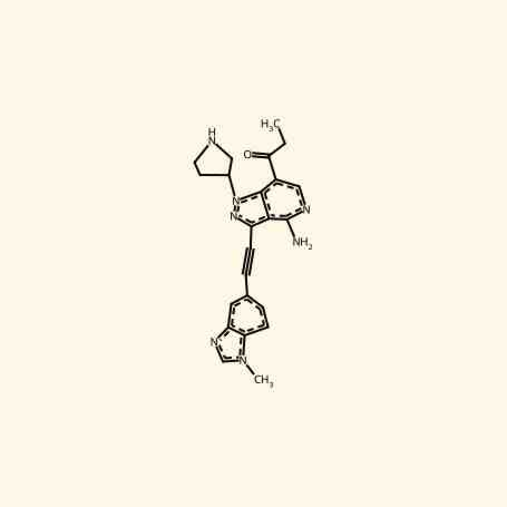 CCC(=O)c1cnc(N)c2c(C#Cc3ccc4c(c3)ncn4C)nn(C3CCNC3)c12